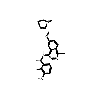 Cc1c([C@@H](C)Nc2nnc(C)c3ccc(OC[C@@H]4CCCN4C)cc23)cccc1C(F)(F)F